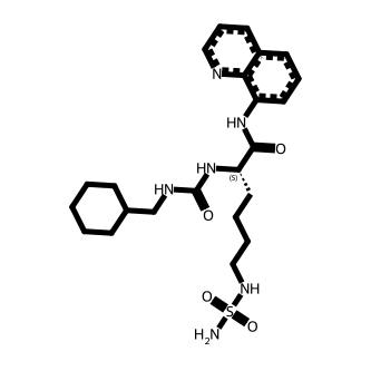 NS(=O)(=O)NCCCC[C@H](NC(=O)NCC1CCCCC1)C(=O)Nc1cccc2cccnc12